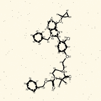 CC1(Oc2ncnc3c2nc(-c2ccc(OCCN4CCN(C(=O)OCc5ccccc5)C(C)(C)C4=O)cc2Cl)n3Cc2ccccc2)CC1